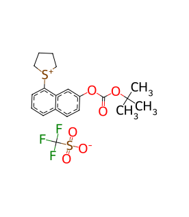 CC(C)(C)OC(=O)Oc1ccc2cccc([S+]3CCCC3)c2c1.O=S(=O)([O-])C(F)(F)F